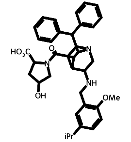 COc1ccc(C(C)C)cc1CNC1CN2CCC1C(C(=O)N1CC(O)CC1C(=O)O)C2C(c1ccccc1)c1ccccc1